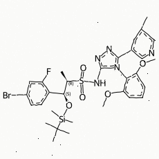 COc1cccc(OC)c1-n1c(NS(=O)(=O)[C@H](C)[C@@H](O[Si](C)(C)C(C)(C)C)c2ccc(Br)cc2F)nnc1-c1cncc(C)c1